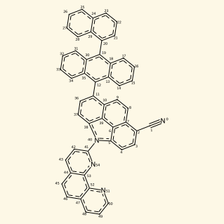 N#Cc1ccc2c3c1ccc1c(-c4c5ccccc5c(-c5cccc6ccccc56)c5ccccc45)ccc(c13)n2-c1ccc2ccc3cccnc3c2n1